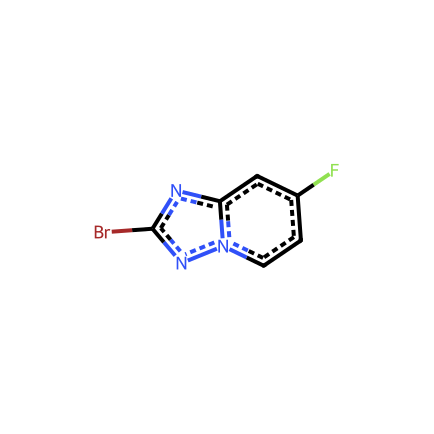 Fc1ccn2nc(Br)nc2c1